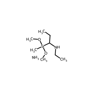 CCNC(CC)[Si](C)(OC)OC.N